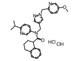 COc1ccc(Cn2cc(CN(C(=O)C3CCCc4ccccc43)c3ccc(C(C)C)nc3)cn2)nc1.Cl.Cl